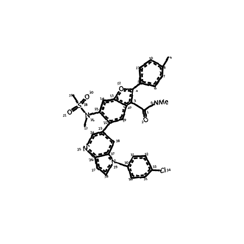 CNC(=O)c1c(-c2ccc(C)cc2)oc2cc(N(C)S(C)(=O)=O)c(-c3cnc4ccn(-c5ccc(Cl)cc5)c4c3)cc12